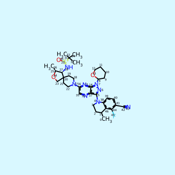 CC1CCN(c2nn(C3CCCCO3)c3nc(N4CCC5(CC4)CO[C@@H](C)[C@H]5N[S@@+]([O-])C(C)(C)C)cnc23)c2ccc(C#N)c(F)c21